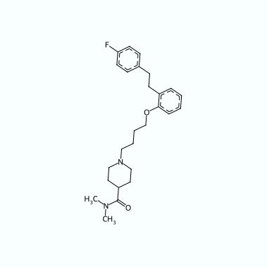 CN(C)C(=O)C1CCN(CCCCOc2ccccc2CCc2ccc(F)cc2)CC1